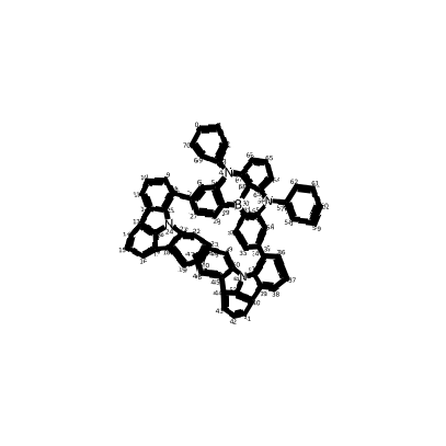 c1ccc(N2c3cc(-c4cccc5c6cccc7c8ccccc8n(c45)c76)ccc3B3c4ccc(-c5cccc6c7cccc8c9ccccc9n(c56)c87)cc4N(c4ccccc4)c4cccc2c43)cc1